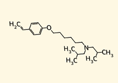 C=Cc1ccc(OCCCCCCN(CC(C)C)CC(C)C)cc1